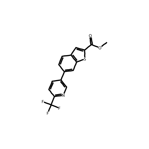 COC(=O)c1cc2ccc(-c3ccc(C(F)(F)F)nc3)cc2s1